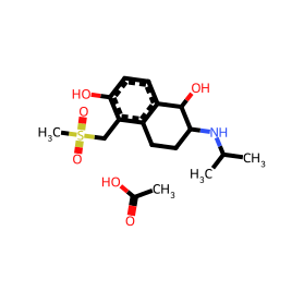 CC(=O)O.CC(C)NC1CCc2c(ccc(O)c2CS(C)(=O)=O)C1O